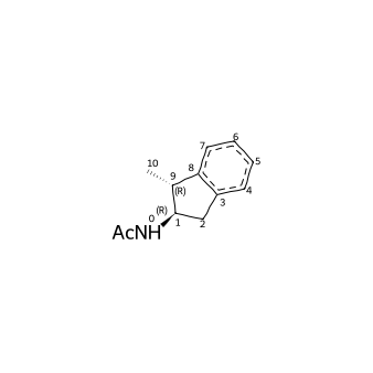 CC(=O)N[C@@H]1Cc2ccccc2[C@H]1C